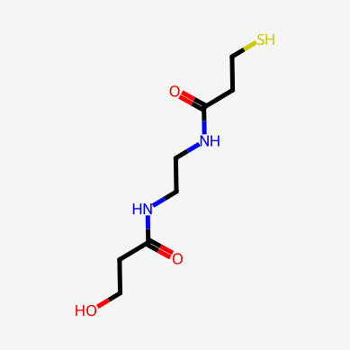 O=C(CCO)NCCNC(=O)CCS